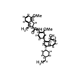 COc1cc(-c2nc([C@H]3CC[C@H](CN)CC3)n3ccnc(C)c23)ccc1NC(=O)C1Cc2c(OC)cccc2N1C